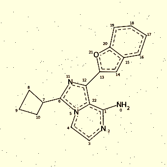 Nc1nccn2c(C3CCC3)nc(-c3cc4ccccc4o3)c12